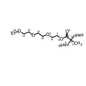 CCCCCCC(C)(CCCCCC)C(=O)OCCOCCOCCOCC